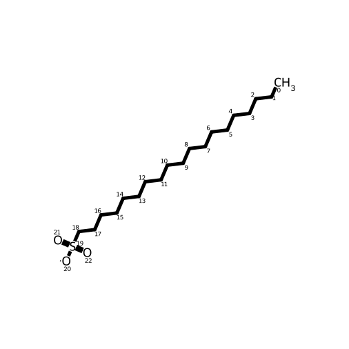 CCCCCCCCCCCCCCCCCCCS([O])(=O)=O